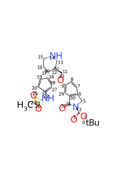 CC(C)(C)OC(=O)N1Cc2ccc(OC[C@@H]3CNCC[C@H]3c3ccc(NS(C)(=O)=O)cc3)cc2C1=O